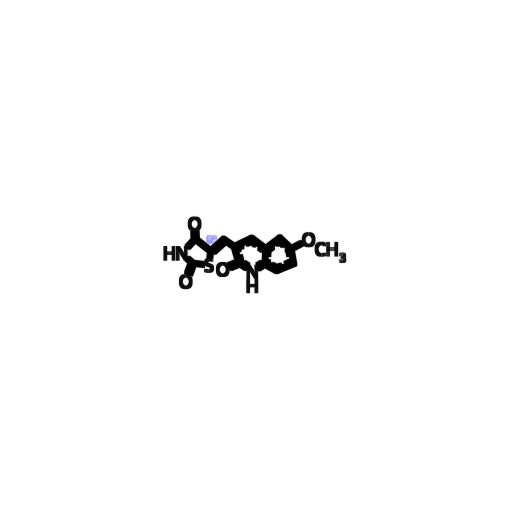 COc1ccc2[nH]c(=O)c(/C=C3\SC(=O)NC3=O)cc2c1